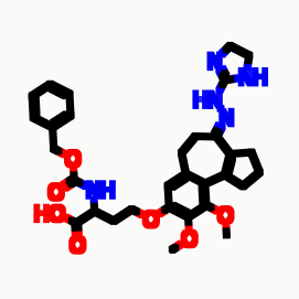 COc1c(OCCC(NC(=O)OCc2ccccc2)C(=O)O)cc2c(c1OC)C1=C(CCC1)C(=NNC1=NCCN1)CC2